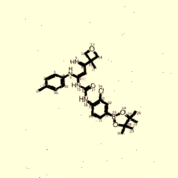 Cc1ccc(N/C(=C\C(=N)C2(C)COC2)NC(=O)Nc2ccc(B3OC(C)(C)C(C)(C)O3)cc2Cl)cc1